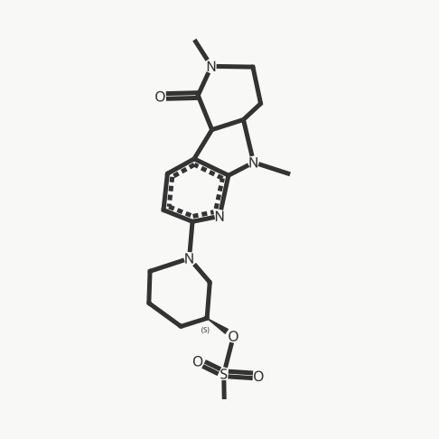 CN1CCC2C(C1=O)c1ccc(N3CCC[C@H](OS(C)(=O)=O)C3)nc1N2C